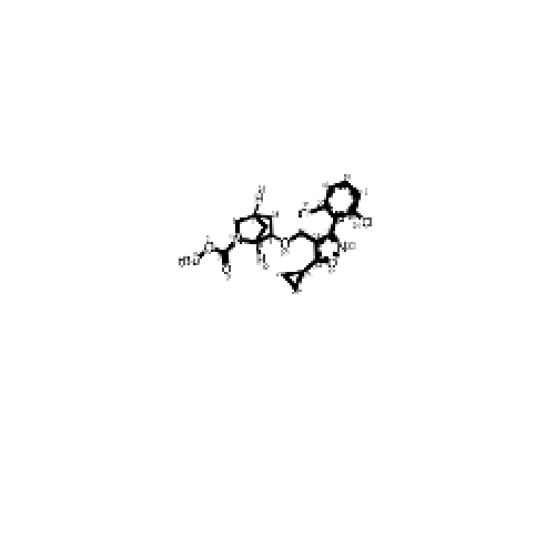 CC(C)(C)OC(=O)N1C[C@H]2C[C@@H]1[C@H](OCc1c(-c3c(Cl)cccc3Cl)noc1C1CC1)C2